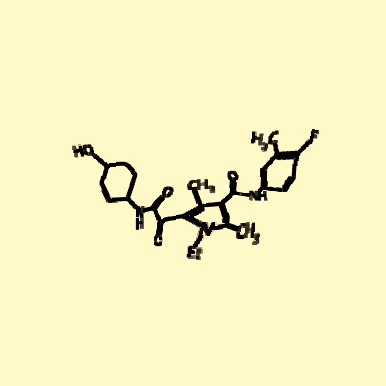 CCn1c(C)c(C(=O)Nc2ccc(F)c(C)c2)c(C)c1C(=O)C(=O)NC1CCC(O)CC1